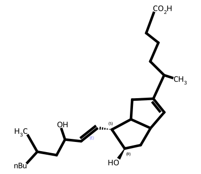 CCCCC(C)CC(O)/C=C/[C@@H]1C2CC(C(C)CCCC(=O)O)=CC2C[C@H]1O